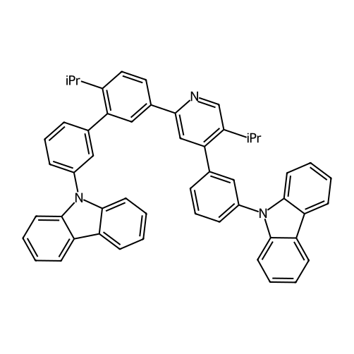 CC(C)c1ccc(-c2cc(-c3cccc(-n4c5ccccc5c5ccccc54)c3)c(C(C)C)cn2)cc1-c1cccc(-n2c3ccccc3c3ccccc32)c1